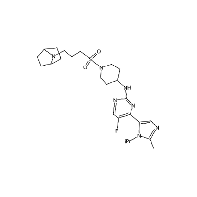 Cc1ncc(-c2nc(NC3CCN(S(=O)(=O)CCCN4C5CCC4CC5)CC3)ncc2F)n1C(C)C